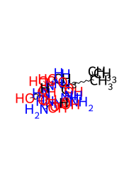 CCC(C)CC(C)CCCCCCCCC(=O)N[C@H]1C[C@@H](O)[C@@H](NCCN)NC(=O)[C@@H]2[C@@H](O)CCN2C(=O)C([C@H](O)CCN)NC(=O)C([C@H](O)[C@@H](O)c2ccc(O)cc2)NC(=O)[C@@H]2C[C@@H](O)CN2C(=O)[C@H]([C@@H](C)O)NC1=O